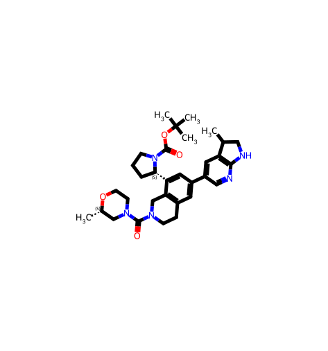 CC1CNc2ncc(-c3cc4c(c([C@@H]5CCCN5C(=O)OC(C)(C)C)c3)CN(C(=O)N3CCO[C@@H](C)C3)CC4)cc21